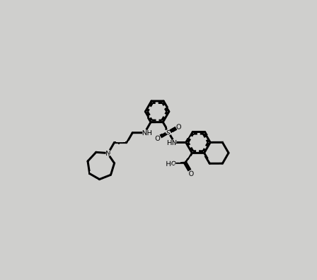 O=C(O)c1c(NS(=O)(=O)c2ccccc2NCCCN2CCCCCC2)ccc2c1CCCC2